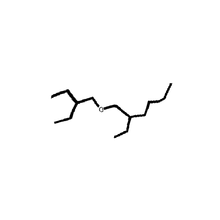 CCCCC(CC)COCC(CC)CC